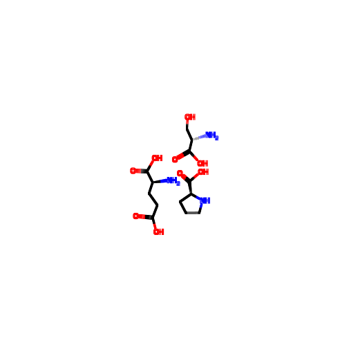 N[C@@H](CCC(=O)O)C(=O)O.N[C@@H](CO)C(=O)O.O=C(O)[C@@H]1CCCN1